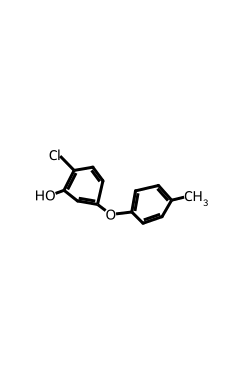 Cc1ccc(Oc2ccc(Cl)c(O)c2)cc1